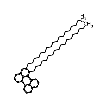 CCCCCCCCCCCCCCCCCCc1cc2cccc3c4cccc5cccc(c(c1CCCCCCCCCCCCCCCCCC)c23)c54